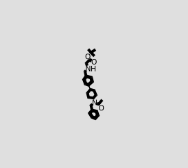 CC(=O)N(Cc1ccccc1)[C@H]1CC[C@H](c2ccc(CNCC(=O)OC(C)(C)C)cc2)CC1